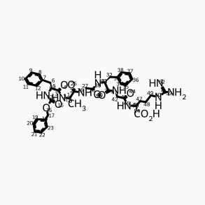 C[C@H](NC(=O)[C@H](Cc1ccccc1)NC(=O)OCc1ccccc1)C(=O)NCC(=O)N[C@@H](Cc1ccccc1)C(=O)NCC(=O)N[C@@H](CCCNC(=N)N)C(=O)O